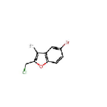 CCc1c(CCl)oc2ccc(Br)cc12